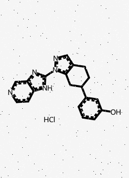 Cl.Oc1cccc(C2CCc3cnn(-c4nc5cnccc5[nH]4)c3C2)c1